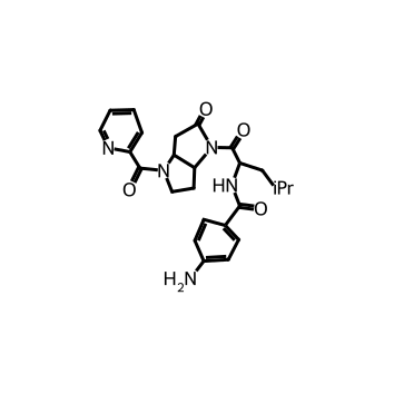 CC(C)CC(NC(=O)c1ccc(N)cc1)C(=O)N1C(=O)CC2C1CCN2C(=O)c1ccccn1